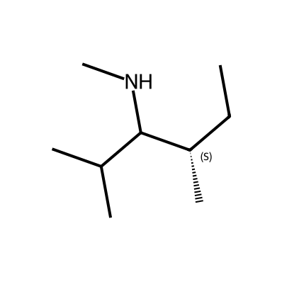 CC[C@H](C)C(NC)C(C)C